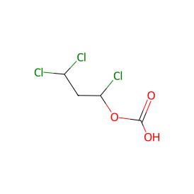 O=C(O)OC(Cl)CC(Cl)Cl